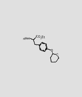 CCCCCCC(Cc1ccc(OC2CCCCO2)cc1)C(=O)OCC